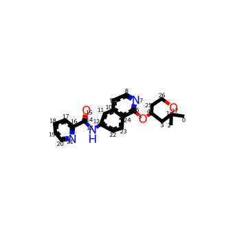 CC1(C)CC(Oc2nccc3cc(NC(=O)c4ccccn4)ccc23)CCO1